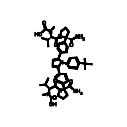 CC(C)[C@@H](C(=O)N1CCC[C@@]1(C(N)=O)c1ccc(-c2ccc(-c3ccc([C@]4(C(N)=O)CCCN4C(=O)[C@H](C(C)C)N(C)C(=O)O)cc3)n2-c2ccc(C(C)(C)C)cc2)cc1)N(C)C(=O)O